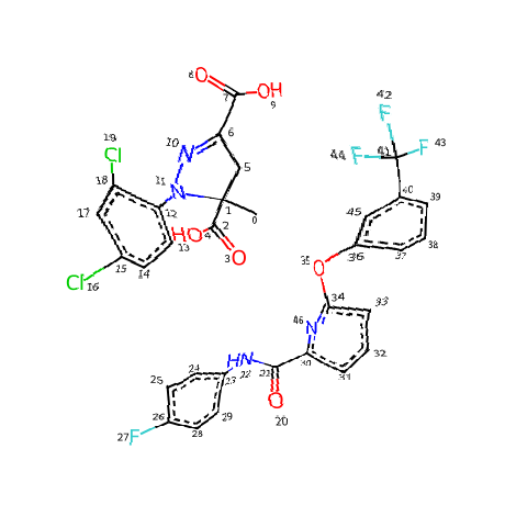 CC1(C(=O)O)CC(C(=O)O)=NN1c1ccc(Cl)cc1Cl.O=C(Nc1ccc(F)cc1)c1cccc(Oc2cccc(C(F)(F)F)c2)n1